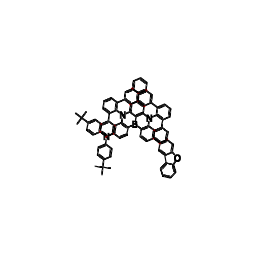 CC(C)(C)c1ccc(N(c2ccc(C(C)(C)C)cc2)c2ccc3c(c2)N(c2c(-c4ccccc4)cccc2-c2ccccc2)c2cc(-c4ccccc4)cc4c2B3c2ccc(-c3ccc5oc6ccccc6c5c3)cc2N4c2c(-c3ccccc3)cccc2-c2ccccc2)cc1